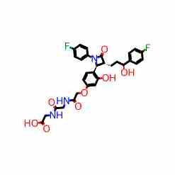 O=C(O)CNC(=O)CNC(=O)COc1ccc([C@@H]2[C@@H](CC[C@H](O)c3ccc(F)cc3)C(=O)N2c2ccc(F)cc2)c(O)c1